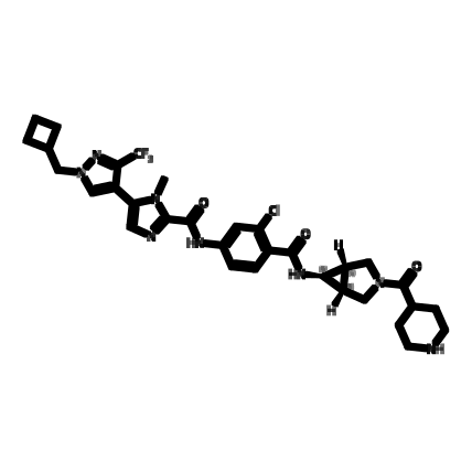 Cn1c(-c2cn(CC3CCC3)nc2C(F)(F)F)cnc1C(=O)Nc1ccc(C(=O)N[C@H]2[C@@H]3CN(C(=O)C4CCNCC4)C[C@@H]32)c(Cl)c1